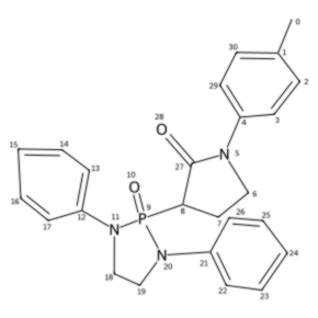 Cc1ccc(N2CCC(P3(=O)N(c4ccccc4)CCN3c3ccccc3)C2=O)cc1